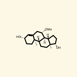 CO[C@H]1CC2=C[C@@H](O)CC[C@]2(C)[C@H]2CC[C@]3(C)[C@@H](O)CC[C@H]3[C@H]12